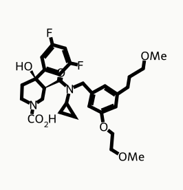 COCCCc1cc(CN(C(=O)[C@H]2CN(C(=O)O)CC[C@]2(O)c2cc(F)cc(F)c2)C2CC2)cc(OCCOC)c1